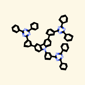 c1ccc(-c2nc(-c3ccccc3)nc(-c3cccc(-c4ccc5c(c4)c4cc(-c6cccc(-c7nc(-c8ccccc8)nc(-c8ccccc8)n7)c6)ccc4n5-c4cccc(-c5nc(-c6ccccc6)nc(-c6ccccc6)n5)c4)c3)n2)cc1